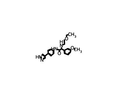 CCOCCNC(C(=O)Nc1ccc(-c2cn[nH]c2)cc1)c1cccc(OC)c1